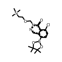 CC1(C)OB(c2ccc(Cl)c3c(=O)n(COCC[Si](C)(C)C)ncc23)OC1(C)C